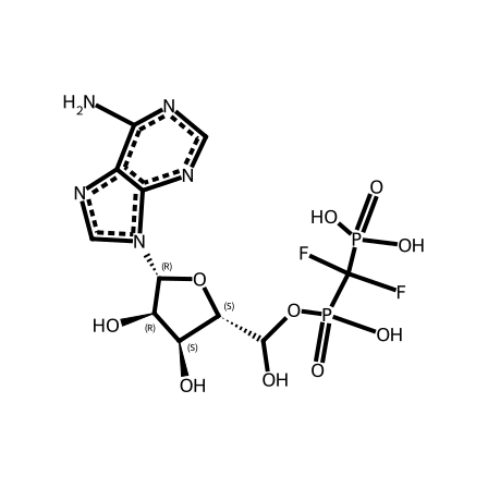 Nc1ncnc2c1ncn2[C@@H]1O[C@H](C(O)OP(=O)(O)C(F)(F)P(=O)(O)O)[C@@H](O)[C@H]1O